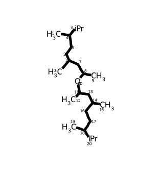 CC(CCC(C)C(C)C)CC(C)OC(C)CC(C)CCC(C)C(C)C